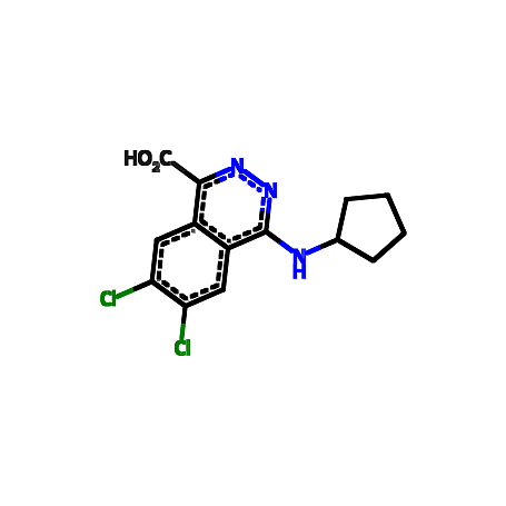 O=C(O)c1nnc(NC2CCCC2)c2cc(Cl)c(Cl)cc12